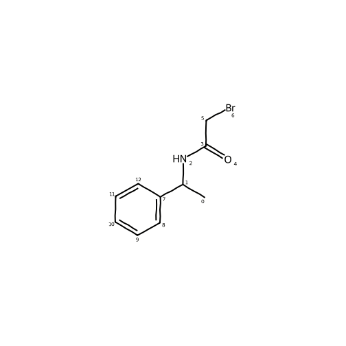 CC(NC(=O)CBr)c1ccccc1